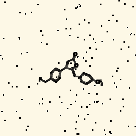 O=C1C=C(c2ccc(CF)cc2)/C(=C/c2ccc(C(F)(F)F)cc2)O1